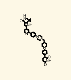 O=C1CCC(c2ccc(N3CCC(CN4CCN(c5ccc(-c6cc(-c7cc8c([nH]7)C7(CC7)CNC8=O)ccn6)cc5)CC4)CC3)cc2)C(=O)N1